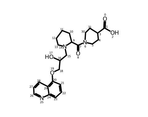 O=C(O)C1CCN(C(=O)C2CCCCN2CC(O)COc2cccc3ncccc23)CC1